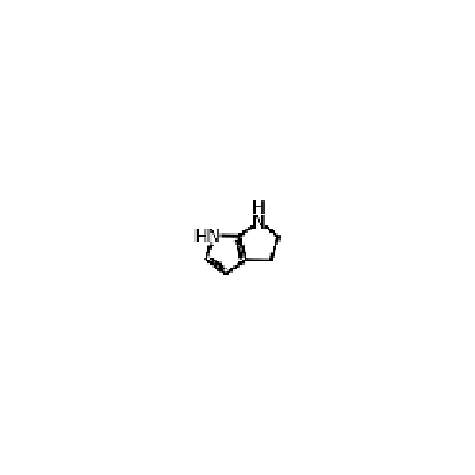 c1cc2c([nH]1)NCC2